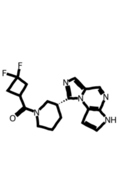 O=C(C1CC(F)(F)C1)N1CCC[C@@H](c2ncc3cnc4[nH]ccc4n23)C1